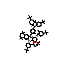 Cc1cc(C(C)(C)C)ccc1N1c2cc(C3c4ccc(C(C)(C)C)cc4C4(C)CC(C(C)(C)C)CCC34C)ccc2B2c3cc4c(cc3N(c3ccc(C(C)(C)C)cc3-c3ccccc3)c3cc(C(C)(C)C)cc1c32)C(C)(C)CCC4(C)C